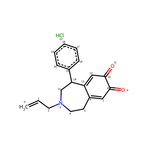 C=CCN1CCC2=CC(=O)C(=O)C=C2C(c2ccccc2)C1.Cl